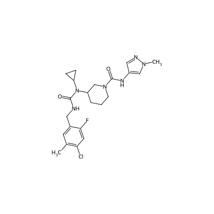 Cc1cc(CNC(=O)N(C2CC2)C2CCCN(C(=O)Nc3cnn(C)c3)C2)c(F)cc1Cl